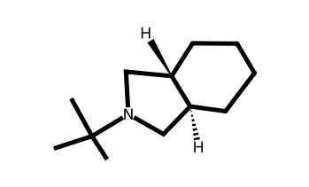 CC(C)(C)N1C[C@@H]2CCCC[C@H]2C1